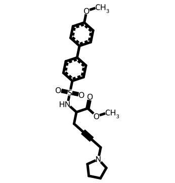 COC(=O)C(CC#CCN1CCCC1)NS(=O)(=O)c1ccc(-c2ccc(OC)cc2)cc1